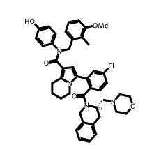 COc1cccc(CN(C(=O)c2cc(-c3cc(Cl)ccc3C(=O)N3Cc4ccccc4C[C@H]3CN3CCOCC3)n3c2CCCC3)c2ccc(O)cc2)c1C